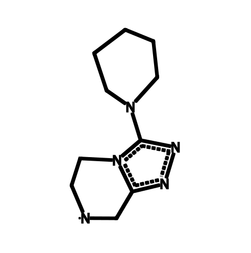 C1CCN(c2nnc3n2CC[N]C3)CC1